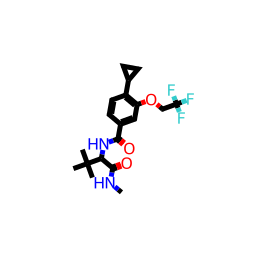 CNC(=O)C(NC(=O)c1ccc(C2CC2)c(OCC(F)(F)F)c1)C(C)(C)C